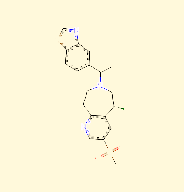 CC(c1ccc2scnc2c1)N1CCc2ncc(S(C)(=O)=O)cc2[C@H](F)C1